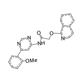 COc1ccccc1-c1cc(NC(=O)COc2nccc3ccccc23)ncn1